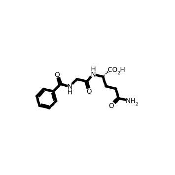 NC(=O)CC[C@H](NC(=O)CNC(=O)c1ccccc1)C(=O)O